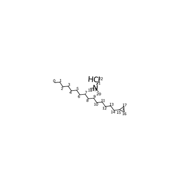 CCCCCCCCCCCCCCCC1C=C1.CN(C)C.Cl